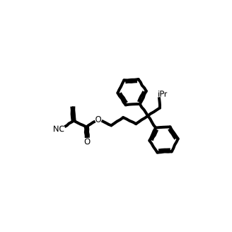 C=C(C#N)C(=O)OCCCC(CC(C)C)(c1ccccc1)c1ccccc1